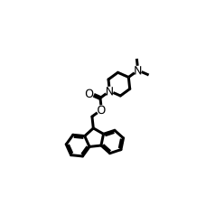 CN(C)C1CCN(C(=O)OCC2c3ccccc3-c3ccccc32)CC1